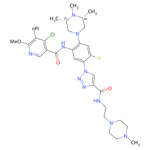 CCCc1c(OC)ncc(C(=O)Nc2cc(-n3cc(C(=O)NCCN4CCN(C)CC4)nn3)c(F)cc2N2C[C@@H](C)N(C)[C@@H](C)C2)c1Cl